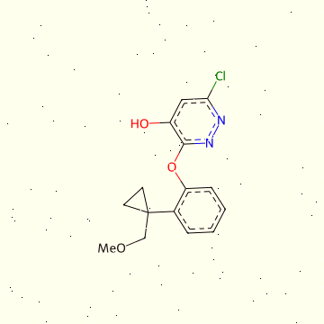 COCC1(c2ccccc2Oc2nnc(Cl)cc2O)CC1